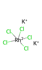 [Cl][Rh-2]([Cl])([Cl])([Cl])[Cl].[K+].[K+]